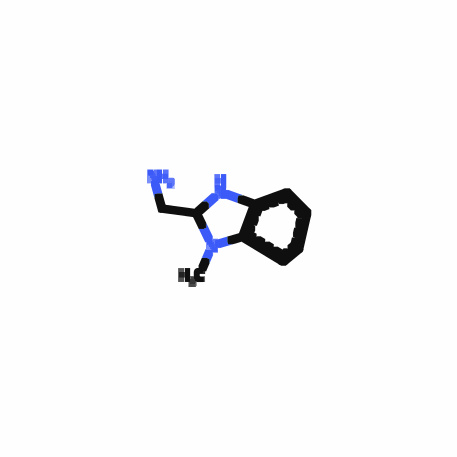 CN1c2ccccc2NC1CN